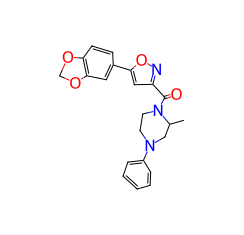 CC1CN(c2ccccc2)CCN1C(=O)c1cc(-c2ccc3c(c2)OCO3)on1